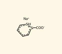 O=C([O-])[si]1cccc[siH]1.[Na+]